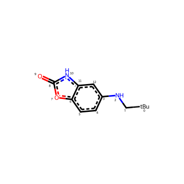 CC(C)(C)CNc1ccc2oc(=O)[nH]c2c1